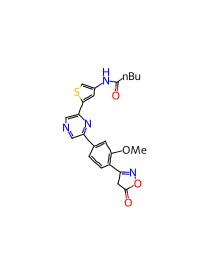 CCCCC(=O)Nc1csc(-c2cncc(-c3ccc(C4=NOC(=O)C4)c(OC)c3)n2)c1